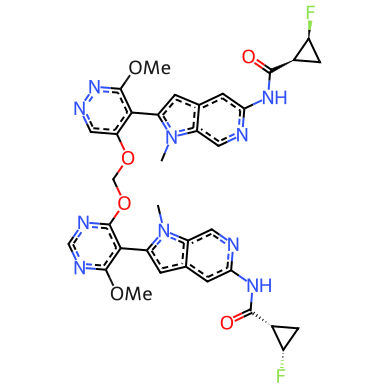 COc1nncc(OCOc2ncnc(OC)c2-c2cc3cc(NC(=O)[C@@H]4C[C@@H]4F)ncc3n2C)c1-c1cc2cc(NC(=O)[C@@H]3C[C@@H]3F)ncc2n1C